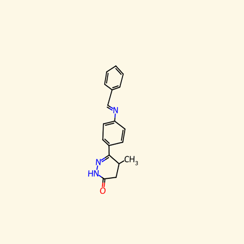 CC1CC(=O)NN=C1c1ccc(/N=C/c2ccccc2)cc1